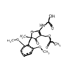 COc1cccc(OC)c1C1(C)OC(NC(=O)O)=C(OC(C)=O)C1=O